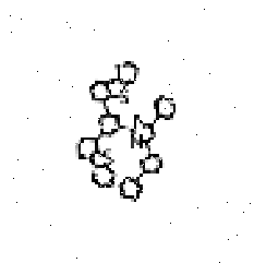 c1ccc(-c2cccc(-c3cc(-c4ccccc4)nc(-c4cc(-c5cccc6c5sc5ccccc56)cc(-c5cccc6c5sc5ccccc56)c4)n3)c2)cc1